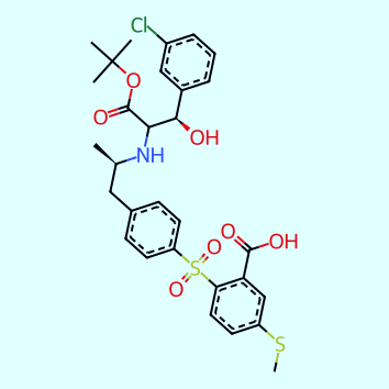 CSc1ccc(S(=O)(=O)c2ccc(C[C@@H](C)NC(C(=O)OC(C)(C)C)[C@H](O)c3cccc(Cl)c3)cc2)c(C(=O)O)c1